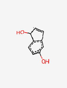 Oc1ccc2c(c1)C=[C]C2O